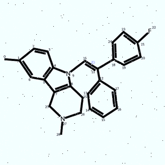 Cc1ccc2c(c1)c1c(n2/C=C(\c2ccccc2)c2ccc(F)cc2)CCN(C)C1